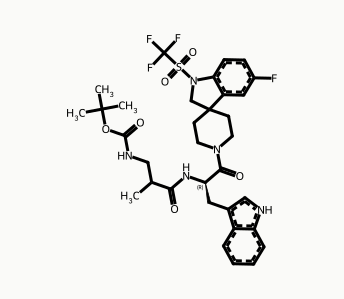 CC(CNC(=O)OC(C)(C)C)C(=O)N[C@H](Cc1c[nH]c2ccccc12)C(=O)N1CCC2(CC1)CN(S(=O)(=O)C(F)(F)F)c1ccc(F)cc12